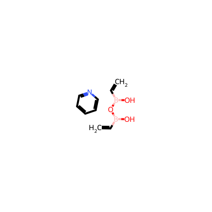 C=CB(O)OB(O)C=C.c1ccncc1